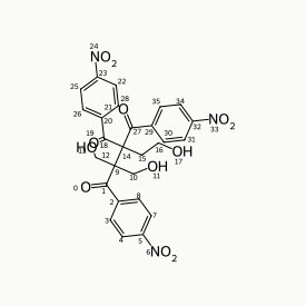 O=C(c1ccc([N+](=O)[O-])cc1)C(CO)(CO)C(CCO)(C(=O)c1ccc([N+](=O)[O-])cc1)C(=O)c1ccc([N+](=O)[O-])cc1